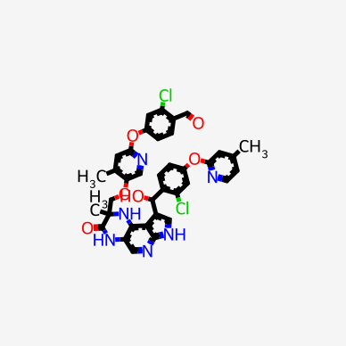 Cc1ccnc(Oc2ccc(C(O)c3c[nH]c4ncc5c(c34)NC(C)(COc3cnc(Oc4ccc(C=O)c(Cl)c4)cc3C)C(=O)N5)c(Cl)c2)c1